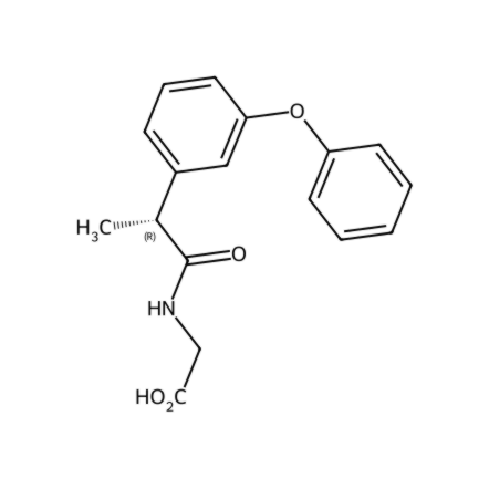 C[C@@H](C(=O)NCC(=O)O)c1cccc(Oc2ccccc2)c1